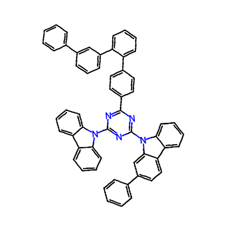 c1ccc(-c2cccc(-c3ccccc3-c3ccc(-c4nc(-n5c6ccccc6c6ccccc65)nc(-n5c6ccccc6c6ccc(-c7ccccc7)cc65)n4)cc3)c2)cc1